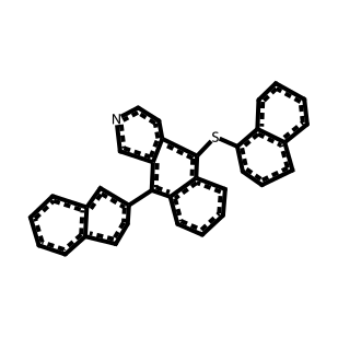 c1ccc2cc(-c3c4ccccc4c(Sc4cccc5ccccc45)c4ccncc34)ccc2c1